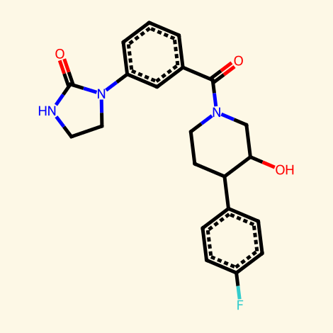 O=C(c1cccc(N2CCNC2=O)c1)N1CCC(c2ccc(F)cc2)C(O)C1